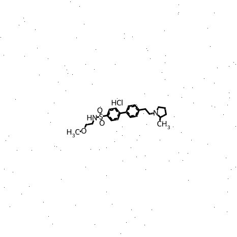 COCCNS(=O)(=O)c1ccc(-c2ccc(CCN3CCCC3C)cc2)cc1.Cl